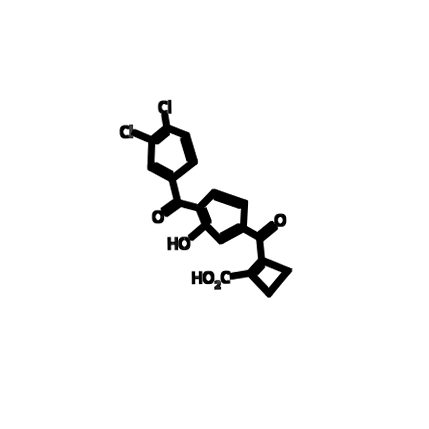 O=C(O)C1=C(C(=O)c2ccc(C(=O)c3ccc(Cl)c(Cl)c3)c(O)c2)CC1